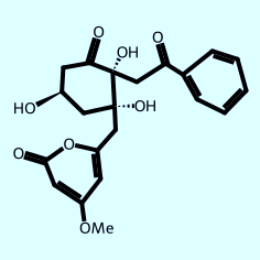 COc1cc(C[C@@]2(O)C[C@@H](O)CC(=O)[C@@]2(O)CC(=O)c2ccccc2)oc(=O)c1